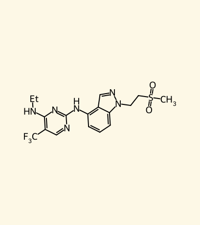 CCNc1nc(Nc2cccc3c2cnn3CCS(C)(=O)=O)ncc1C(F)(F)F